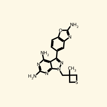 CC1(Cn2nc(-c3ccc4oc(N)nc4c3)c3c(N)nc(N)nc32)CSC1